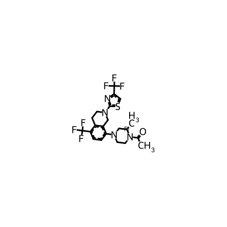 CC(=O)N1CCN(c2ccc(C(F)(F)F)c3c2CN(c2nc(C(F)(F)F)cs2)CC3)C[C@H]1C